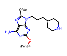 CCC[C@H](C)Oc1nc(N)c2nc(OC)n(CCCC3CCNCC3)c2n1